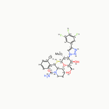 CO[C@@H]1[C@@H](n2cc(-c3cc(F)c(F)c(F)c3)nn2)[C@@H](O)[C@@H](CO)O[C@H]1SC(c1ccccc1C(F)(F)F)C1CCCCN1C(N)=O